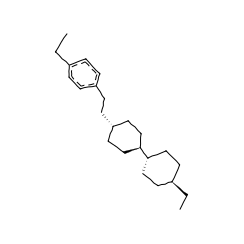 CCc1ccc(CC[C@H]2CC[C@H]([C@H]3CC[C@H](CC)CC3)CC2)cc1